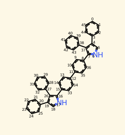 c1ccc(-c2c[nH]c(-c3ccc(-c4ccc(-c5[nH]cc(-c6ccccc6)c5-c5ccccc5)cc4)cc3)c2-c2ccccc2)cc1